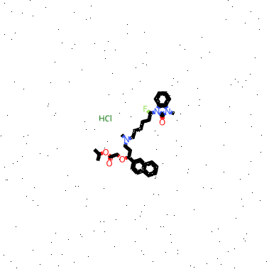 CC(C)OC(=O)COC(CCN(C)CCCCCC(F)n1c(=O)n(C)c2ccccc21)c1ccc2ccccc2c1.Cl